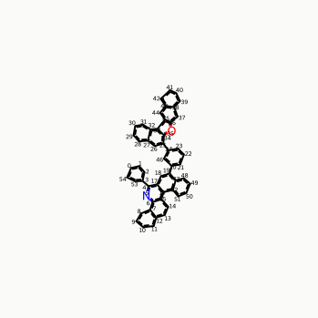 c1ccc(-c2nc3c4ccccc4ccc3c3c2cc(-c2cccc(-c4cc5ccccc5c5c4oc4cc6ccccc6cc45)c2)c2ccccc23)cc1